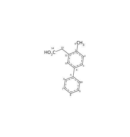 Cc1ccc(-c2ccccc2)cc1CC(=O)O